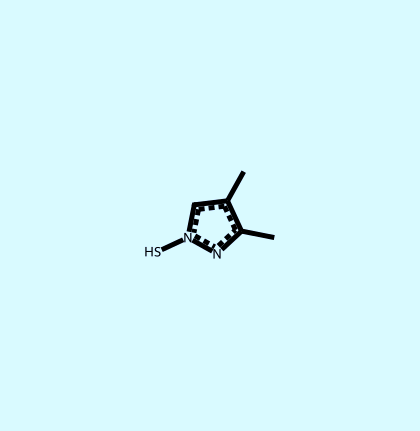 Cc1cn(S)nc1C